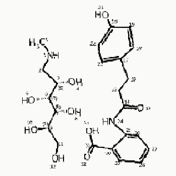 CNC[C@H](O)[C@@H](O)[C@H](O)[C@H](O)CO.O=C(CCc1ccc(O)cc1)Nc1ccccc1C(=O)O